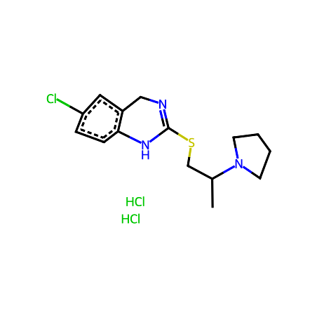 CC(CSC1=NCc2cc(Cl)ccc2N1)N1CCCC1.Cl.Cl